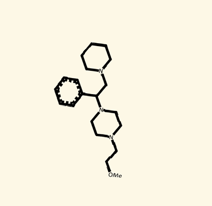 COCCN1CCN(C(CN2CCCCC2)c2ccccc2)CC1